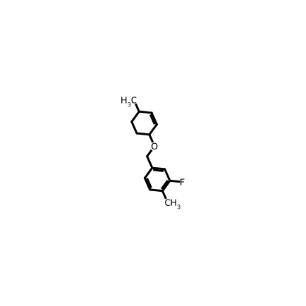 Cc1ccc(COC2C=CC(C)CC2)cc1F